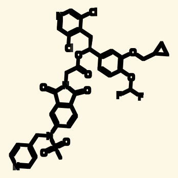 CS(=O)(=O)N(Cc1ccncc1)c1ccc2c(c1)C(=O)N(CC(=O)O[C@@H](Cc1c(Cl)cncc1Cl)c1ccc(OC(F)F)c(OCC3CC3)c1)C2=O